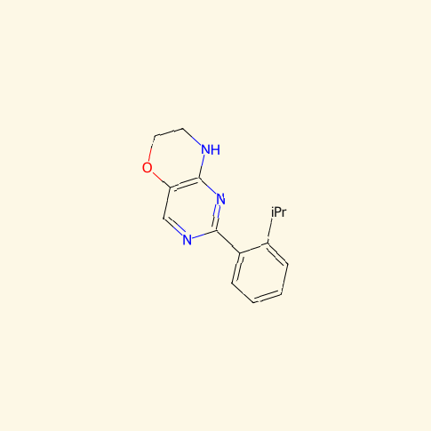 CC(C)c1ccccc1-c1ncc2c(n1)NCCO2